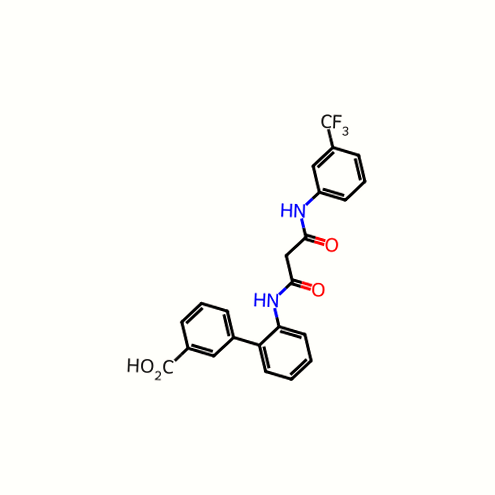 O=C(CC(=O)Nc1ccccc1-c1cccc(C(=O)O)c1)Nc1cccc(C(F)(F)F)c1